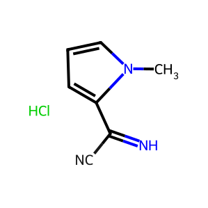 Cl.Cn1cccc1C(=N)C#N